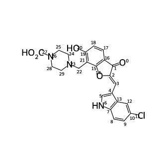 O=C1C(=Cc2c[nH]c3ccc(Cl)cc23)Oc2c1ccc(O)c2CN1CCN(C(=O)O)CC1